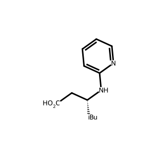 CCC(C)[C@H](CC(=O)O)Nc1ccccn1